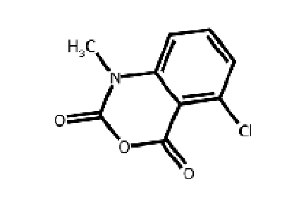 Cn1c(=O)oc(=O)c2c(Cl)cccc21